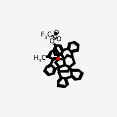 Cc1ccccc1-c1ccccc1C12CCC34CC(CC5(CC1c1ccccc1-c1ccccc15)C32)c1ccccc1-c1cc(OS(=O)(=O)C(F)(F)F)ccc14